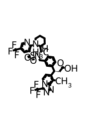 Cc1ccc([C@H](CC(=O)O)c2ccn3c(C(F)(F)F)nnc3c2C)cc1CN1C[C@@H]2CCCCN2c2ncc(C(F)(F)F)cc2S1(=O)=O